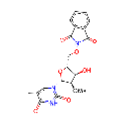 CO[C@@H]1[C@H](O)[C@@H](CON2C(=O)c3ccccc3C2=O)O[C@H]1n1cc(C)c(=O)[nH]c1=O